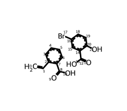 C=Cc1ccccc1C(=O)O.O=C(O)c1cc(Br)ccc1O